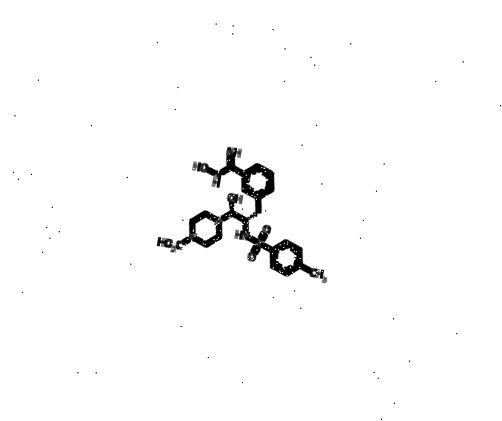 Cc1ccc(S(=O)(=O)N[C@@H](Cc2cccc(C(=N)NO)c2)[C@H](O)N2CCN(C(=O)O)CC2)cc1